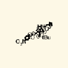 CC(C)(C)OC(=O)C1=C(COC(=O)Oc2ccc([N+](=O)[O-])cc2)CS[C@@H]2[C@H](NC(=O)Cc3cccs3)C(=O)N12